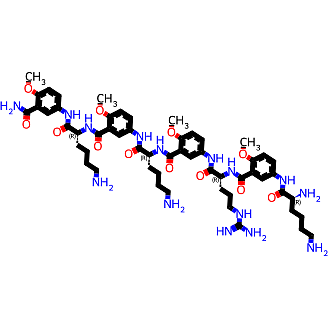 COc1ccc(NC(=O)[C@@H](CCCCN)NC(=O)c2cc(NC(=O)[C@@H](CCCCN)NC(=O)c3cc(NC(=O)[C@@H](CCCNC(=N)N)NC(=O)c4cc(NC(=O)[C@H](N)CCCCN)ccc4OC)ccc3OC)ccc2OC)cc1C(N)=O